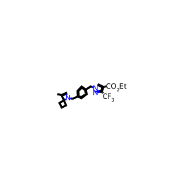 CCOC(=O)c1cn(Cc2ccc(CN3C=C(C)C34CCC4)cc2)nc1C(F)(F)F